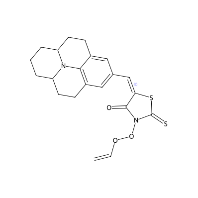 C=COON1C(=O)/C(=C\c2cc3c4c(c2)CCC2CCCC(CC3)N42)SC1=S